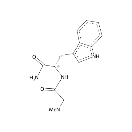 CNCC(=O)N[C@@H](Cc1c[nH]c2ccccc12)C(N)=O